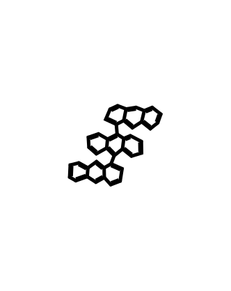 c1ccc2cc3c(-c4c5ccccc5c(-c5cccc6cc7ccccc7cc56)c5ccccc45)cccc3cc2c1